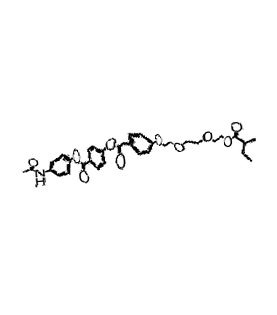 CCC(C)C(=O)OCCOCCOCCOc1ccc(C(=O)Oc2ccc(C(=O)Oc3ccc(NC(C)=O)cc3)cc2)cc1